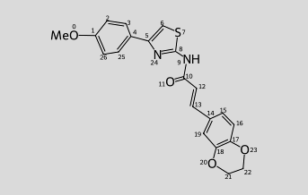 COc1ccc(-c2csc(NC(=O)C=Cc3ccc4c(c3)OCCO4)n2)cc1